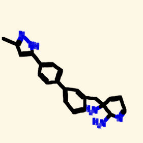 Cc1cc(-c2ccc(-c3cccc(CC4(N)C=CC=NC4N)c3)cc2)[nH]n1